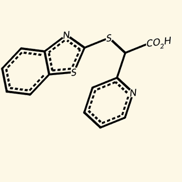 O=C(O)C(Sc1nc2ccccc2s1)c1ccccn1